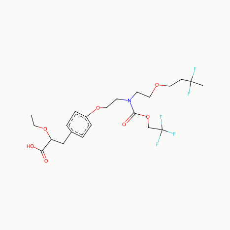 CCOC(Cc1ccc(OCCN(CCOCCC(C)(F)F)C(=O)OCC(F)(F)F)cc1)C(=O)O